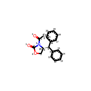 CCC(=O)N1C(=O)OC[C@H]1C(c1ccccc1)c1ccccc1